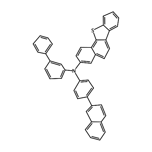 c1ccc(-c2cccc(N(c3ccc(-c4ccc5ccccc5c4)cc3)c3ccc4c(ccc5c6ccccc6sc45)c3)c2)cc1